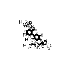 CCc1nnc2n1-c1c(C)c(-c3cc(F)cc4c3cnn4S(C)(=O)=O)cc(F)c1NC2(C)C